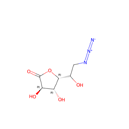 [N-]=[N+]=NCC(O)[C@H]1OC(=O)[C@H](O)[C@H]1O